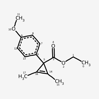 CCOC(=O)C1(c2ccc(OC)cc2)C(C)=C1C